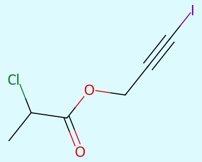 CC(Cl)C(=O)OCC#CI